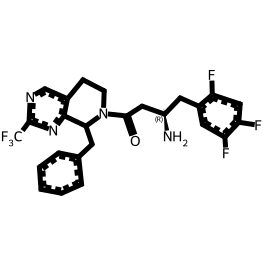 N[C@@H](CC(=O)N1CCc2cnc(C(F)(F)F)nc2C1Cc1ccccc1)Cc1cc(F)c(F)cc1F